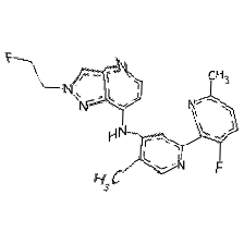 Cc1ccc(F)c(-c2cc(Nc3ccnc4cn(CCF)nc34)c(C)cn2)n1